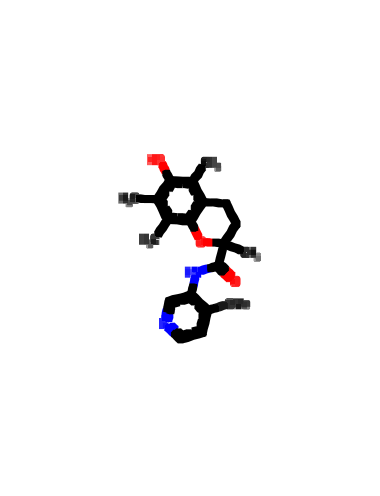 COc1ccncc1NC(=O)C1(C)CCc2c(C)c(O)c(C)c(C)c2O1